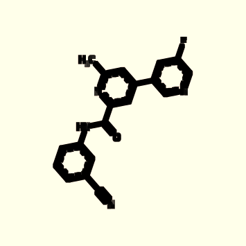 Cc1cc(-c2cncc(F)c2)cc(C(=O)Nc2cccc(C#N)c2)n1